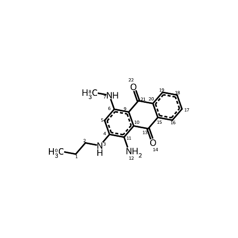 CCCNc1cc(NC)c2c(c1N)C(=O)c1ccccc1C2=O